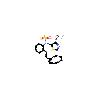 CS(=O)(=O)N(c1ccccc1C=Cc1ccccc1)c1scnc1C(=O)O